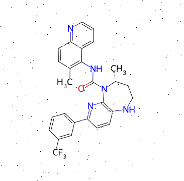 Cc1ccc2ncccc2c1NC(=O)N1c2nc(-c3cccc(C(F)(F)F)c3)ccc2NCC[C@H]1C